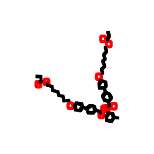 C=CC(=O)OCCCCCCCCOc1ccc(-c2ccc(C(=O)Oc3ccc(C)cc3OC(=O)c3ccc(-c4ccc(OCCCCCCCCOC(=O)C=C)cc4)cc3)cc2)cc1